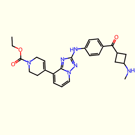 CCOC(=O)N1CC=C(c2cccn3nc(Nc4ccc(C(=O)C5CC(NC)C5)cc4)nc23)CC1